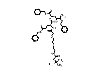 C=C(OCc1ccccc1)C(CCC(=O)OCc1ccccc1)NC(=O)C(CCC(=O)OCc1ccccc1)NC(=O)COCCOCCNC(=O)OC(C)(C)C